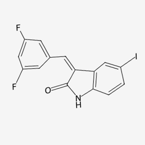 O=C1Nc2ccc(I)cc2C1=Cc1cc(F)cc(F)c1